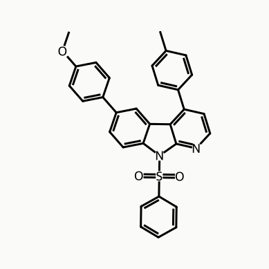 COc1ccc(-c2ccc3c(c2)c2c(-c4ccc(C)cc4)ccnc2n3S(=O)(=O)c2ccccc2)cc1